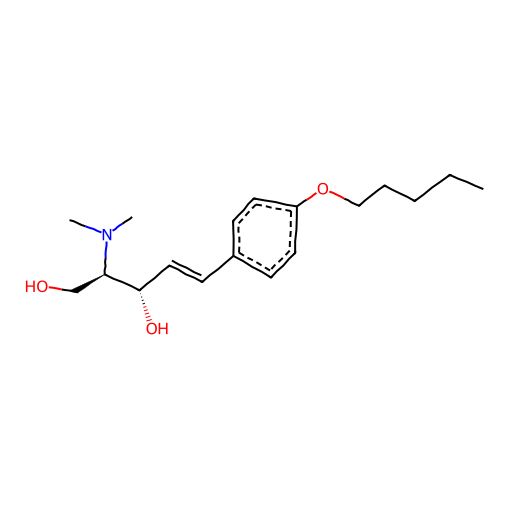 CCCCCOc1ccc(/C=C/[C@H](O)[C@@H](CO)N(C)C)cc1